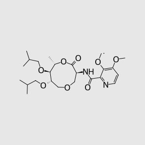 [CH2]Oc1c(OC)ccnc1C(=O)N[C@H]1COC[C@H](OCC(C)C)[C@@H](OCC(C)C)[C@H](C)OC1=O